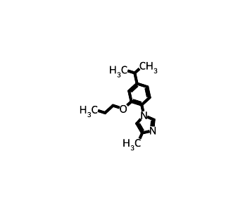 CCCOc1cc(C(C)C)ccc1-n1cnc(C)c1